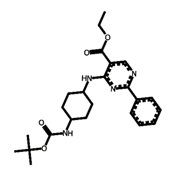 CCOC(=O)c1cnc(-c2ccccc2)nc1NC1CCC(NC(=O)OC(C)(C)C)CC1